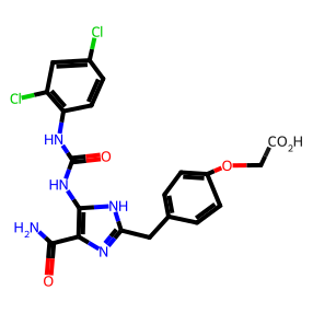 NC(=O)c1nc(Cc2ccc(OCC(=O)O)cc2)[nH]c1NC(=O)Nc1ccc(Cl)cc1Cl